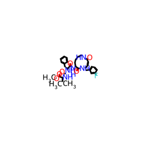 COC(=O)[C@@H](NC(=O)N[C@@H](Cc1ccccc1)C(=O)N[C@H]1CCCCNC(=O)C=C[C@H](Cc2cccc(F)c2)NC1=O)C(C)C